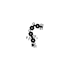 CCC(C)(C)Oc1ccc(C(c2ccc(Oc3ccc(C(=O)c4ccc(C(C)(CC)CC)cc4)cc3)cc2)(C(F)(F)F)C(F)(F)F)cc1